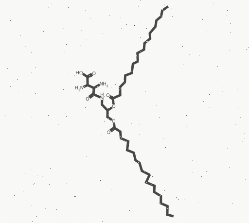 CCCCCCCCCCCCCCCCCC(=O)OCC(CNC(=O)C(N)C(N)C(=O)O)OC(=O)CCCCCCCCCCCCCCCCC